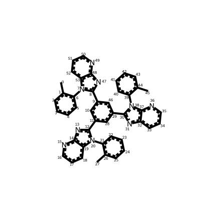 Cc1ccccc1-n1c(-c2cc(-c3nc4ncccc4n3-c3ccccc3C)cc(-c3nc4cccnc4n3-c3ccccc3C)c2)nc2ncccc21